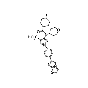 C[C@H]1CC[C@H](C(=O)N(c2nn(-c3ccc(-c4cn5ccsc5n4)cc3)cc2C(=O)O)C2CCOCC2)CC1